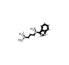 CN(C)CCCN(N)c1nsc2ccccc12